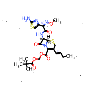 CC/C=C/C1=C(C(=O)OCOC(=O)C(C)(C)C)N2C(=O)[C@@H](NC(=O)/C(=N\OC)c3csc(N)n3)[C@@H]2SC1